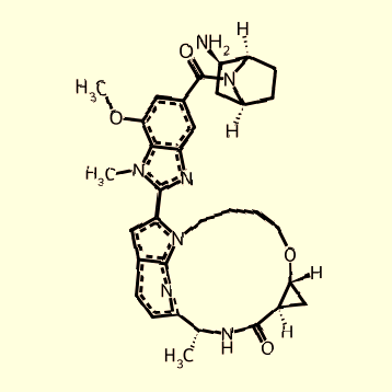 COc1cc(C(=O)N2[C@H]3CC[C@@H]2[C@H](N)C3)cc2nc(-c3cc4ccc5nc4n3CCCCO[C@@H]3C[C@H]3C(=O)N[C@@H]5C)n(C)c12